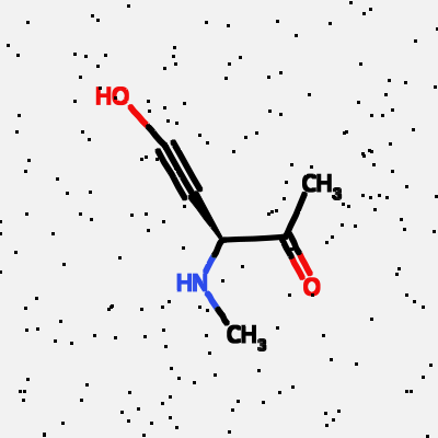 CN[C@@H](C#CO)C(C)=O